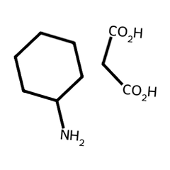 NC1CCCCC1.O=C(O)CC(=O)O